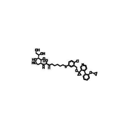 O=C(NCCCCCSc1ccc(Cl)c(COC2(c3cnccc3-c3ccccc3OC3CC3)CC2)c1)NC(CO)C(O)C(O)C(O)CO